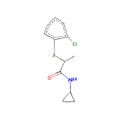 CC(Sc1ccccc1Cl)C(=O)NC1CC1